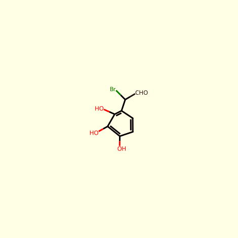 O=CC(Br)c1ccc(O)c(O)c1O